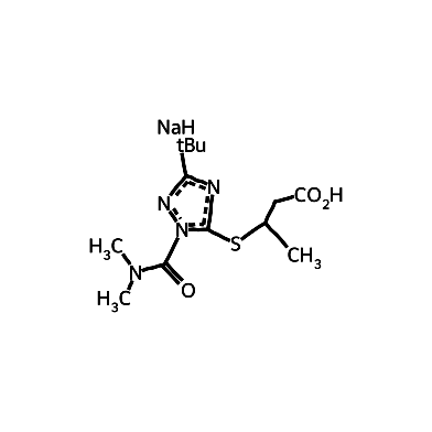 CC(CC(=O)O)Sc1nc(C(C)(C)C)nn1C(=O)N(C)C.[NaH]